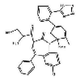 CNC1(N2C(=O)C(C(=O)C(N)CS)N=C(c3ccccc3)c3cc(Cl)ccc32)CC(c2ccccc2-c2nnn[nH]2)=CC=C1C